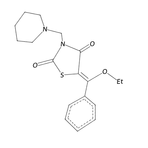 CCOC(=C1SC(=O)N(CN2CCCCC2)C1=O)c1ccccc1